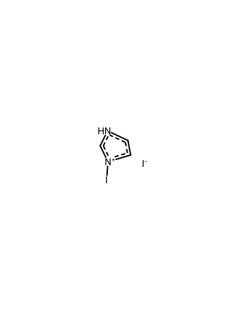 I[n+]1cc[nH]c1.[I-]